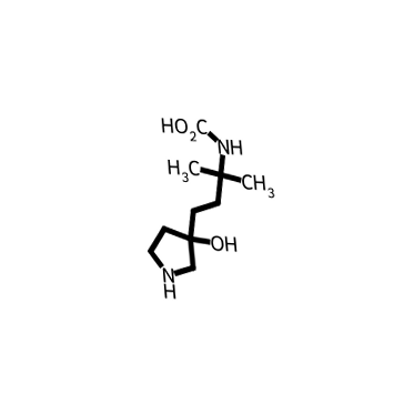 CC(C)(CCC1(O)CCNC1)NC(=O)O